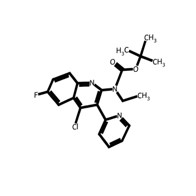 CCN(C(=O)OC(C)(C)C)c1nc2ccc(F)cc2c(Cl)c1-c1ccccn1